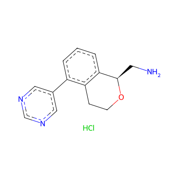 Cl.NC[C@H]1OCCc2c(-c3cncnc3)cccc21